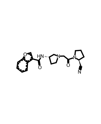 N#C[C@@H]1CCCN1C(=O)CN1CC[C@H](NC(=O)c2coc3ccccc23)C1